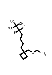 CCOCC1(CCCCC(F)(F)C(C)(C)C)CCC1